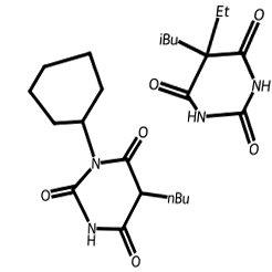 CCC(C)C1(CC)C(=O)NC(=O)NC1=O.CCCCC1C(=O)NC(=O)N(C2CCCCC2)C1=O